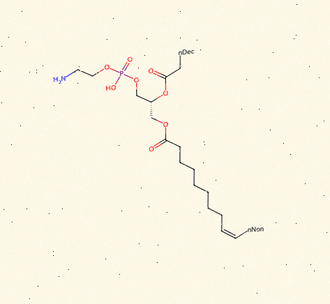 CCCCCCCCC/C=C\CCCCCCCC(=O)OC[C@H](COP(=O)(O)OCCN)OC(=O)CCCCCCCCCCC